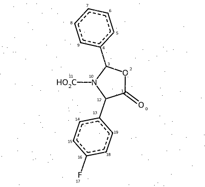 O=C1OC(c2ccccc2)N(C(=O)O)C1c1ccc(F)cc1